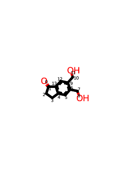 O=C1CCc2cc(CO)c(CO)cc21